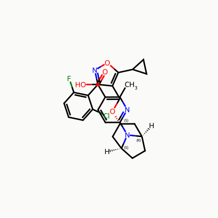 Cc1nc(N2[C@@H]3CC[C@H]2C[C@H](OCc2c(-c4c(F)cccc4Cl)noc2C2CC2)C3)ccc1C(=O)O